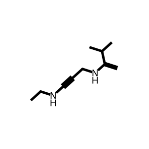 C=C(NCC#CNCC)C(C)C